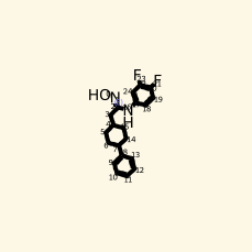 O/N=C(\CC1CCC(c2ccccc2)CC1)Nc1ccc(F)c(F)c1